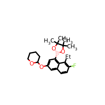 CCc1c(F)ccc2cc(OC3CCCCO3)cc(B3OC(C)(C)C(C)(C)O3)c12